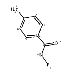 Cc1ccc(C(=O)NF)cc1